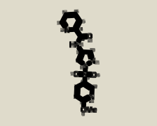 COc1ccc(S(=O)(=O)n2cc(NC(=O)c3ccccn3)cn2)cn1